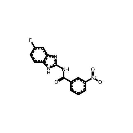 O=C(Nc1nc2cc(F)ccc2[nH]1)c1cccc([N+](=O)[O-])c1